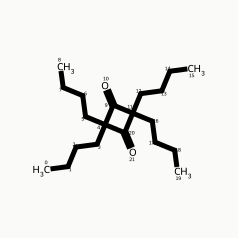 CCCCC1(CCCC)C(=O)C(CCCC)(CCCC)C1=O